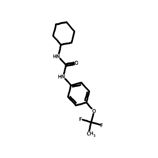 CC(F)(F)Oc1ccc(NC(=O)NC2CCCCC2)cc1